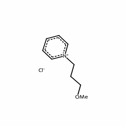 COCCC[n+]1ccccc1.[Cl-]